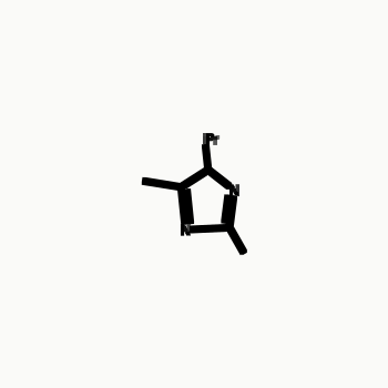 CC1=NC(C(C)C)C(C)=N1